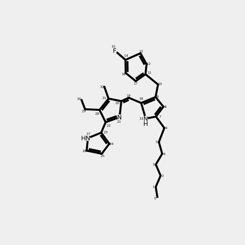 CCCCCCCc1cc(Cc2ccc(F)cc2)c(C=C2N=C(c3ccc[nH]3)C(CC)=C2C)[nH]1